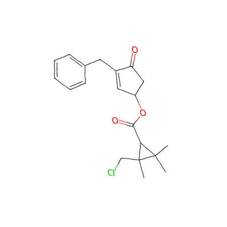 CC1(C)C(C(=O)OC2C=C(Cc3ccccc3)C(=O)C2)C1(C)CCl